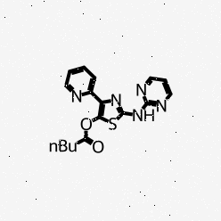 CCCCC(=O)Oc1sc(Nc2ncccn2)nc1-c1ccccn1